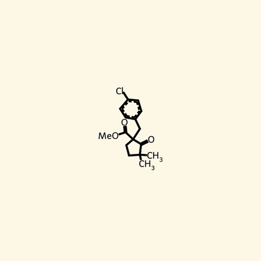 COC(=O)C1(Cc2ccc(Cl)cc2)CCC(C)(C)C1=O